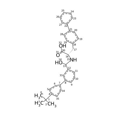 CC(C)(C)c1ccc(-c2cccc(C(O)N[C@@H](Cc3ccc(-c4ccccc4)cc3)C(=O)O)c2)cc1